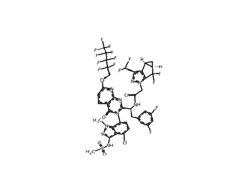 Cn1nc(NS(C)(=O)=O)c2c(Cl)ccc(-n3c([C@H](Cc4cc(F)cc(F)c4)NC(=O)Cn4nc(C(F)F)c5c4C(F)(F)[C@@H]4C[C@H]54)nc4nc(OCC(F)(F)C(F)(F)C(F)(F)C(F)(F)F)ccc4c3=O)c21